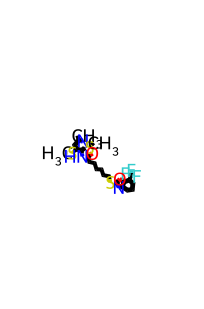 CSc1cc(C)nc(SC)c1NC(=O)CCCCCCSc1nc2cccc(C(F)(F)F)c2o1